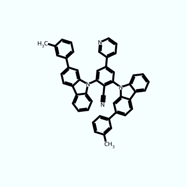 Cc1cccc(-c2ccc3c4ccccc4n(-c4cc(-c5cccnc5)cc(-n5c6ccccc6c6ccc(-c7cccc(C)c7)cc65)c4C#N)c3c2)c1